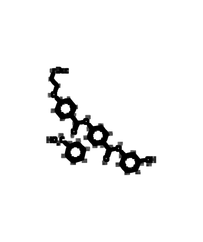 CCCCCCCCCCCCOc1ccc(C(=O)Oc2ccc(C(=O)Oc3cccc(O)c3)cc2)cc1.O=C(O)c1ccccc1